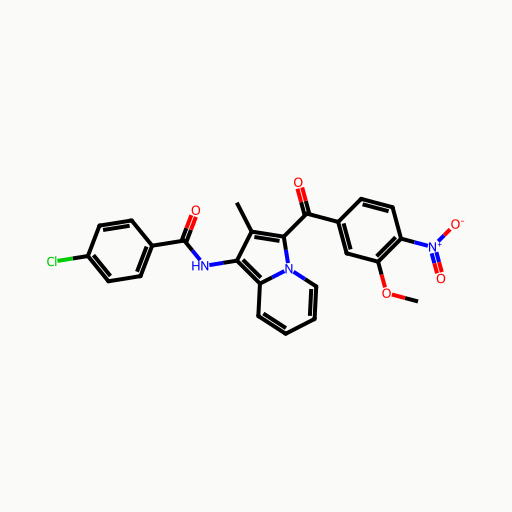 COc1cc(C(=O)c2c(C)c(NC(=O)c3ccc(Cl)cc3)c3ccccn23)ccc1[N+](=O)[O-]